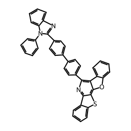 c1ccc(-n2c(-c3ccc(-c4ccc(-c5nc6c7ccccc7sc6c6oc7ccccc7c56)cc4)cc3)nc3ccccc32)cc1